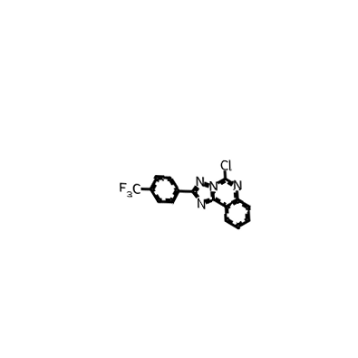 FC(F)(F)c1ccc(-c2nc3c4ccccc4nc(Cl)n3n2)cc1